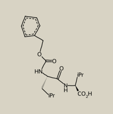 CC(C)C[C@H](NC(=O)OCc1ccccc1)C(=O)N[C@H](C(=O)O)C(C)C